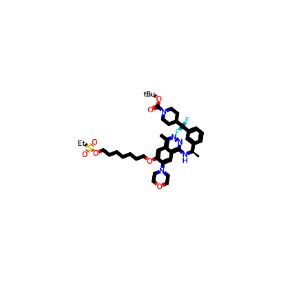 CCS(=O)(=O)OCCCCCCCOc1cc2c(C)nnc(N[C@H](C)c3cccc(C(F)(F)C4CCN(C(=O)OC(C)(C)C)CC4)c3)c2cc1N1CCOCC1